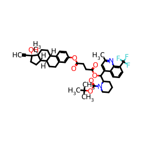 C#C[C@]1(O)CC[C@H]2[C@@H]3CCc4cc(OC(=O)CCC(=O)OC(c5cc(C)nc6c(C(F)(F)F)cccc56)C5CCCCN5C(=O)OC(C)(C)C)ccc4[C@H]3CC[C@@]21C